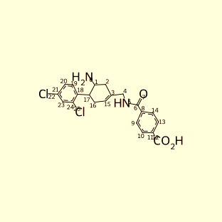 NC1CC(CNC(=O)c2ccc(C(=O)O)cc2)=CCC1c1ccc(Cl)cc1Cl